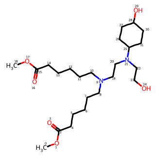 COC(=O)CCCCCN(CCCCCC(=O)OC)CCN(CCO)C1CCC(O)CC1